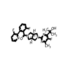 Cc1nc(N2C[C@H]3CN(C(=O)c4c(F)cccc4-c4ncccc4F)C[C@H]3C2)nc(C(C)(C)O)c1F